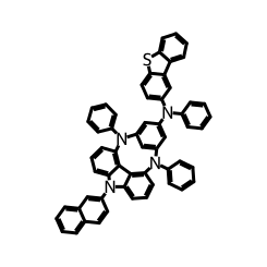 c1ccc(N(c2cc3cc(c2)N(c2ccccc2)c2cccc4c2c2c(cccc2n4-c2ccc4ccccc4c2)N3c2ccccc2)c2ccc3sc4ccccc4c3c2)cc1